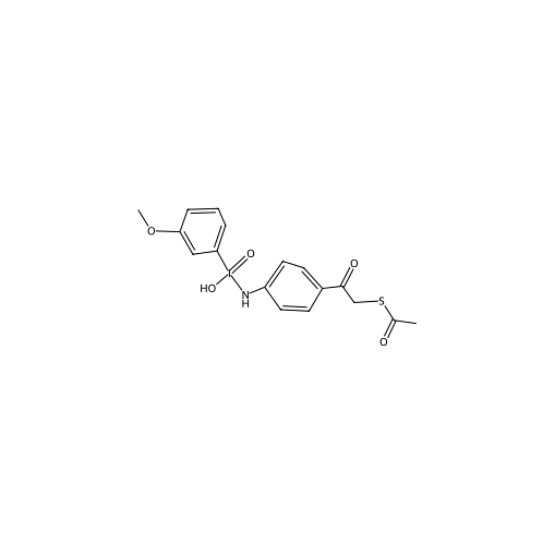 COc1cccc(I(=O)(O)Nc2ccc(C(=O)CSC(C)=O)cc2)c1